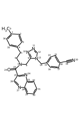 Cc1ccc(CCN(Cc2nncn2Cc2ccc(C#N)cc2)C(=O)c2cnc3ccccc3n2)cc1